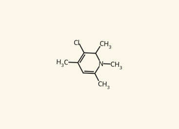 CC1=CC(C)=C(Cl)C(C)N1C